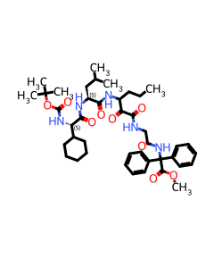 CCCC(NC(=O)[C@H](CC(C)C)NC(=O)[C@@H](NC(=O)OC(C)(C)C)C1CCCCC1)C(=O)C(=O)NCC(=O)NC(C(=O)OC)(c1ccccc1)c1ccccc1